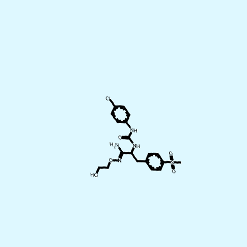 CS(=O)(=O)c1ccc(CC(NC(=O)Nc2ccc(Cl)cc2)C(N)=NOCCO)cc1